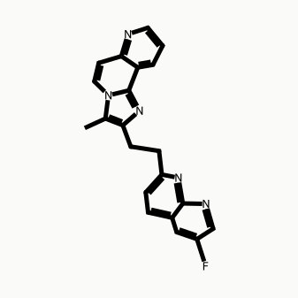 Cc1c(CCc2ccc3cc(F)cnc3n2)nc2c3cccnc3ccn12